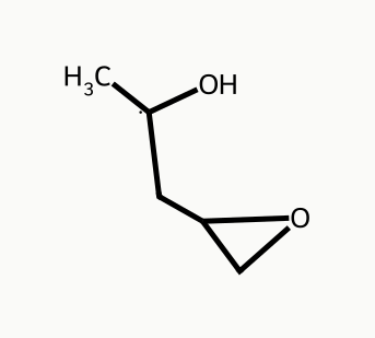 C[C](O)CC1CO1